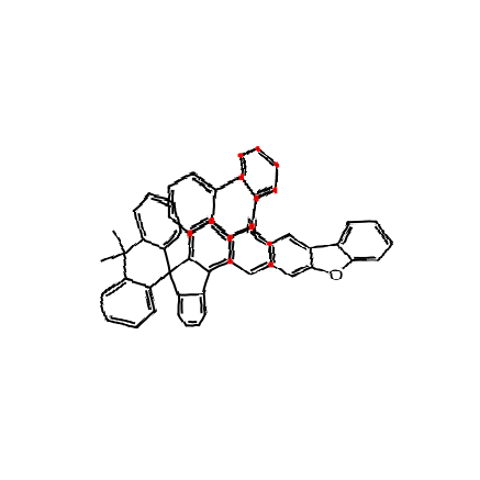 CC1(C)c2ccccc2C2(c3ccccc3-c3cc(N(c4ccc5oc6ccccc6c5c4)c4ccccc4-c4ccccc4-c4ccccc4-c4ccccc4)ccc32)c2ccccc21